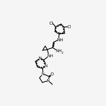 CN1CCN(c2ccnc(NC3(/C(N)=C/Nc4cc(Cl)cc(Cl)c4)CC3)n2)C1=O